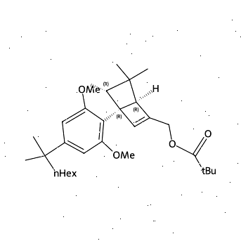 CCCCCCC(C)(C)c1cc(OC)c([C@@]23C=C(COC(=O)C(C)(C)C)[C@@H]2C(C)(C)[C@H]3C)c(OC)c1